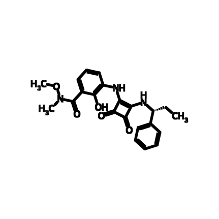 CC[C@@H](Nc1c(Nc2cccc(C(=O)N(C)OC)c2O)c(=O)c1=O)c1ccccc1